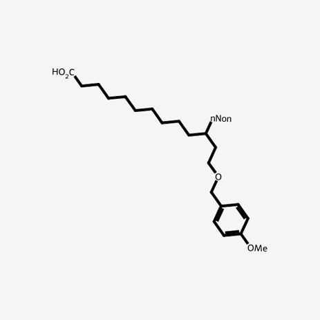 CCCCCCCCCC(CCCCCCCCCC(=O)O)CCOCc1ccc(OC)cc1